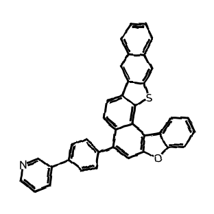 c1cncc(-c2ccc(-c3cc4oc5ccccc5c4c4c3ccc3c5cc6ccccc6cc5sc34)cc2)c1